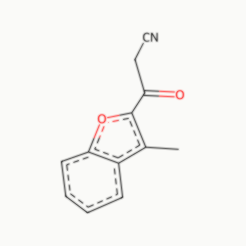 Cc1c(C(=O)CC#N)oc2ccccc12